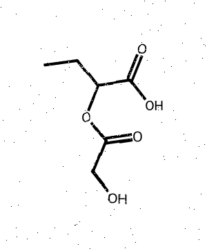 CCC(OC(=O)CO)C(=O)O